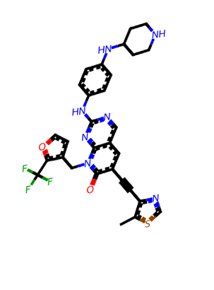 Cc1scnc1C#Cc1cc2cnc(Nc3ccc(NC4CCNCC4)cc3)nc2n(Cc2ccoc2C(F)(F)F)c1=O